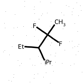 CCC(C(C)C)C(C)(F)F